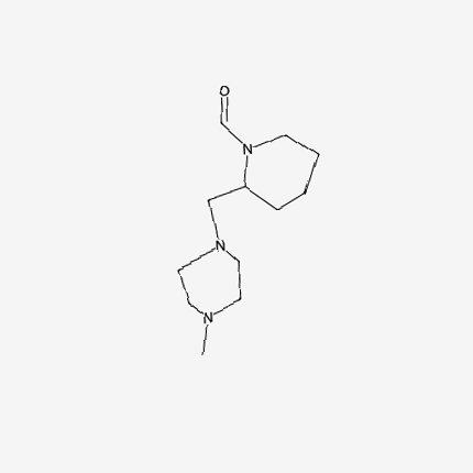 CN1CCN(CC2CCCCN2C=O)CC1